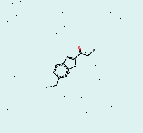 CC(C)CC(=O)C1=Cc2ccc(CC(C)C)cc2C1